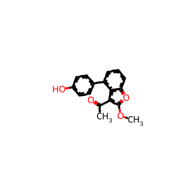 COc1oc2cccc(-c3ccc(O)cc3)c2c1C(C)=O